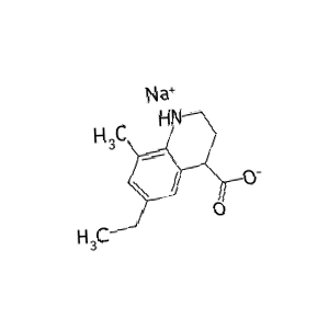 CCc1cc(C)c2c(c1)C(C(=O)[O-])CCN2.[Na+]